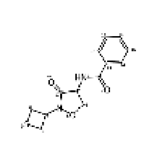 O=C(NC1CON(C2CSC2)C1=O)c1ccccc1